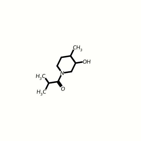 CC(C)C(=O)N1CCC(C)C(O)C1